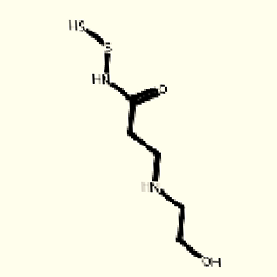 O=C(CCNCCO)NSS